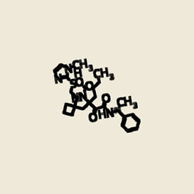 CCCCC(CC1(CCSc2nccn2C)CCC1)(NC(=O)O)C(=O)C(=O)N[C@H](C)c1ccccc1